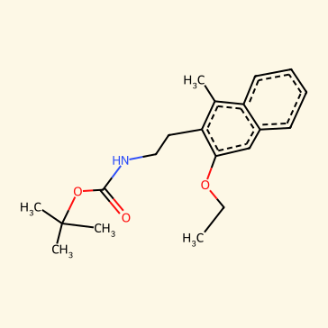 CCOc1cc2ccccc2c(C)c1CCNC(=O)OC(C)(C)C